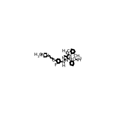 Cc1cccc(C)c1NC(=O)c1cnc(Nc2ccc(OCCCN3CCN(C)CC3)c(F)c2)nc1Oc1ccccc1OC(C)C